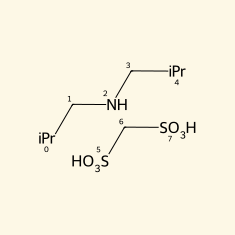 CC(C)CNCC(C)C.O=S(=O)(O)CS(=O)(=O)O